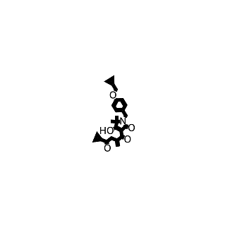 C=C(CC(=O)C1CC1)C(=O)C1=C(O)C(C)(C)N(Cc2ccc(OCC3CC3)cc2)C1=O